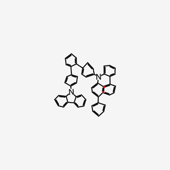 c1ccc(-c2ccc(N(c3ccc(-c4ccccc4-c4ccc(-n5c6ccccc6c6ccccc65)cc4)cc3)c3ccccc3-c3ccccc3)cc2)cc1